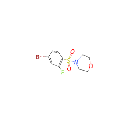 O=S(=O)(c1ccc(Br)cc1F)N1CCOCC1